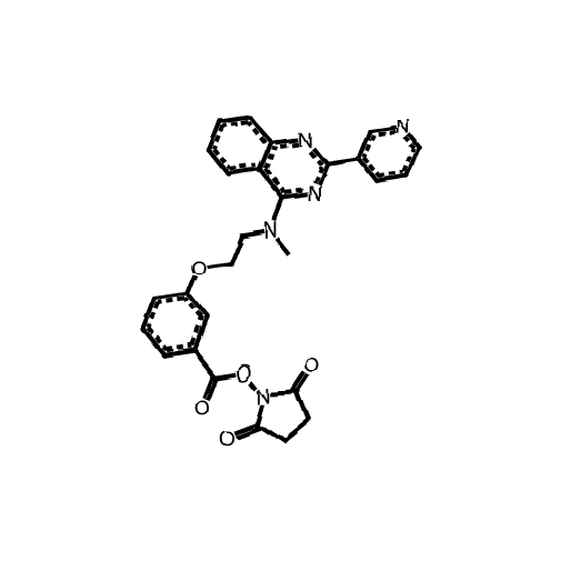 CN(CCOc1cccc(C(=O)ON2C(=O)CCC2=O)c1)c1nc(-c2cccnc2)nc2ccccc12